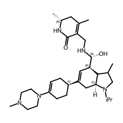 CC1=C(CN[C@H](O)[C@@H]2C=C([C@@H]3CC=C(N4CCN(C)CC4)CC3)C[C@H]3C2C(C)CN3C(C)C)C(=O)N[C@H](C)C1